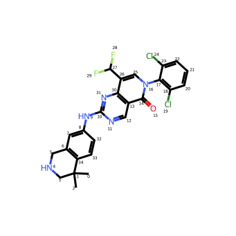 CC1(C)CNCc2cc(Nc3ncc4c(=O)n(-c5c(Cl)cccc5Cl)cc(C(F)F)c4n3)ccc21